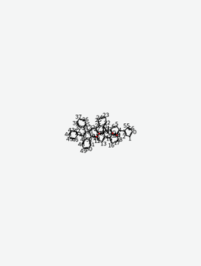 c1ccc(-c2ccc(N(c3ccccc3-c3ccccc3)c3ccccc3-c3ccc4c(c3)c(-c3ccccc3)c(-c3ccccc3)c3ccccc34)cc2)cc1